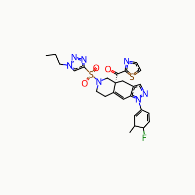 CCCn1cc(S(=O)(=O)N2CCC3=Cc4c(cnn4C4=CC(C)C(F)C=C4)C[C@]3(C(=O)c3nccs3)C2)nn1